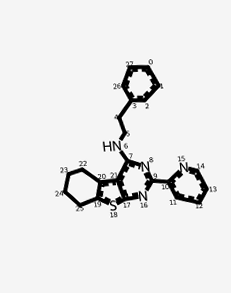 c1ccc(CCNc2nc(-c3ccccn3)nc3sc4c(c23)CCCC4)cc1